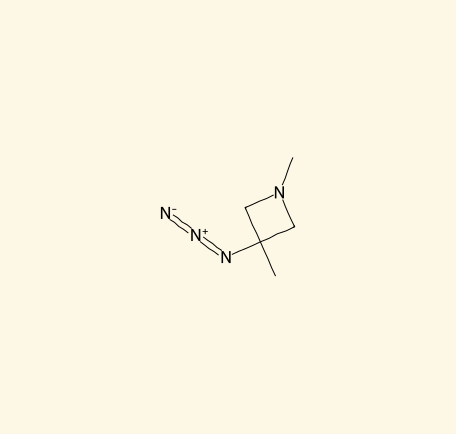 CN1CC(C)(N=[N+]=[N-])C1